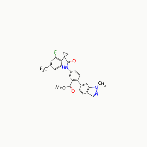 COC(=O)c1cc(NC(=O)C2(c3ccc(C(F)(F)F)cc3F)CC2)ccc1-c1ccc2cnn(C)c2c1